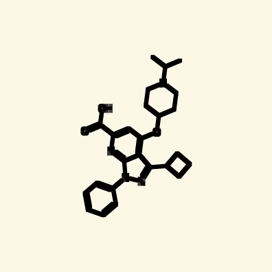 CC(C)N1CCC(Oc2cc(C(=O)O)nc3c2c(C2CCC2)nn3-c2ccccc2)CC1